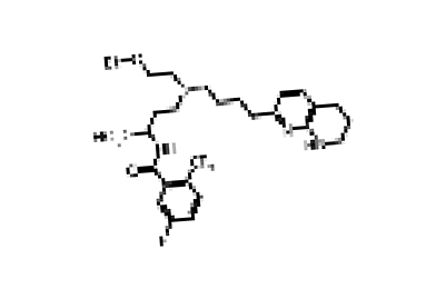 CCOCCN(CCCCc1ccc2c(n1)NCCC2)CCC(NC(=O)c1cc(F)ccc1C(F)(F)F)C(=O)O